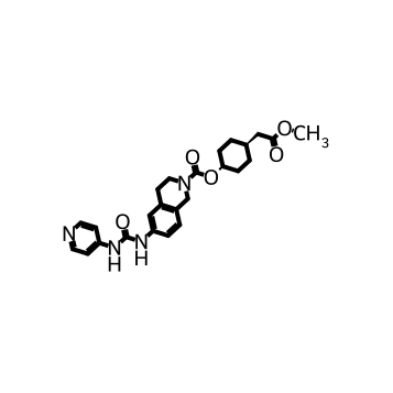 COC(=O)C[C@H]1CC[C@H](OC(=O)N2CCc3cc(NC(=O)Nc4ccncc4)ccc3C2)CC1